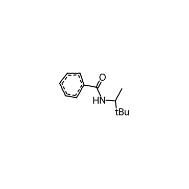 CC(NC(=O)c1ccccc1)C(C)(C)C